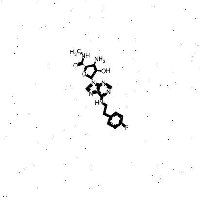 CNC(=O)[C@H]1O[C@@H](n2cnc3c(NCCc4ccc(F)cc4)ncnc32)[C@H](O)[C@@H]1N